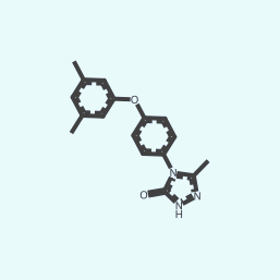 Cc1cc(C)cc(Oc2ccc(-n3c(C)n[nH]c3=O)cc2)c1